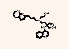 COCCN(CCCCc1ccc2c(n1)NCCC2)CCC(C=O)(CO)Nc1ccnc2ccccc12